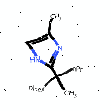 CCCCCCC(C)(CCC)c1nc(C)c[nH]1